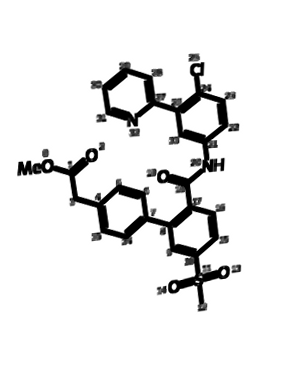 COC(=O)Cc1ccc(-c2cc(S(C)(=O)=O)ccc2C(=O)Nc2ccc(Cl)c(-c3ccccn3)c2)cc1